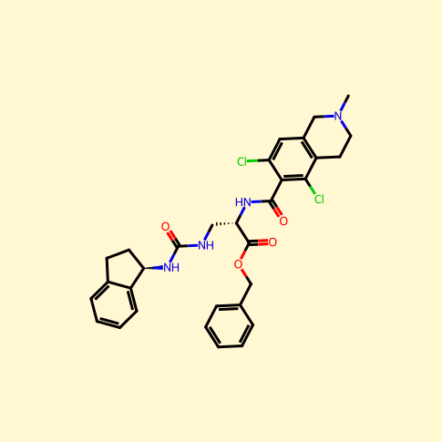 CN1CCc2c(cc(Cl)c(C(=O)N[C@@H](CNC(=O)N[C@@H]3CCc4ccccc43)C(=O)OCc3ccccc3)c2Cl)C1